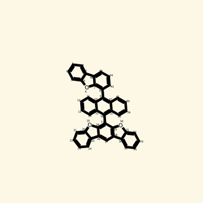 c1ccc2c(c1)oc1c(-c3c4ccccc4c(-c4c5oc6ccccc6c5cc5c4oc4ccccc45)c4ccccc34)cccc12